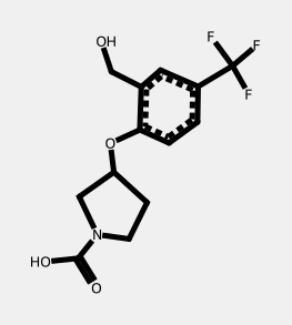 O=C(O)N1CCC(Oc2ccc(C(F)(F)F)cc2CO)C1